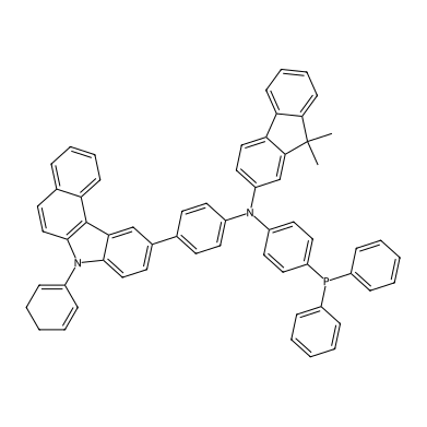 CC1(C)c2ccccc2-c2ccc(N(c3ccc(-c4ccc5c(c4)c4c6ccccc6ccc4n5C4=CCCC=C4)cc3)c3ccc(P(c4ccccc4)c4ccccc4)cc3)cc21